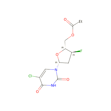 CCC(=O)OC[C@H]1O[C@@H](n2cc(Cl)c(=O)[nH]c2=O)C[C@@H]1F